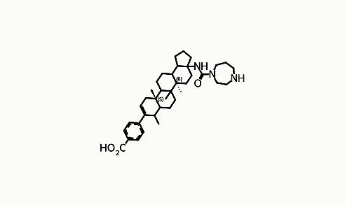 CC1C(c2ccc(C(=O)O)cc2)=CC[C@@]2(C)C1CCC1(C)C2CCC2C3CCCC3(NC(=O)N3CCCNCC3)CC[C@]21C